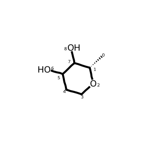 C[C@@H]1OCCC(O)C1O